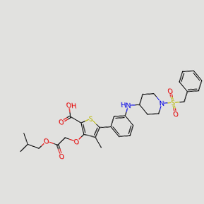 Cc1c(-c2cccc(NC3CCN(S(=O)(=O)Cc4ccccc4)CC3)c2)sc(C(=O)O)c1OCC(=O)OCC(C)C